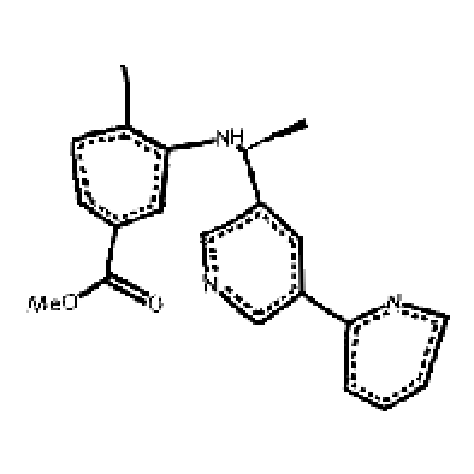 COC(=O)c1ccc(C)c(N[C@@H](C)c2cncc(-c3ccccn3)c2)c1